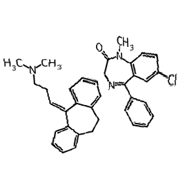 CN(C)CCC=C1c2ccccc2CCc2ccccc21.CN1C(=O)CN=C(c2ccccc2)c2cc(Cl)ccc21